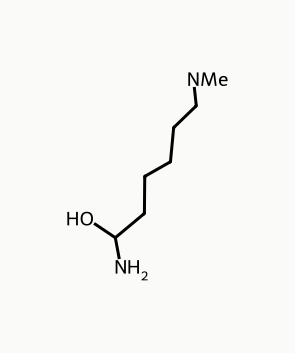 CNCCCCCC(N)O